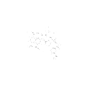 CCN(CC)CC.N=Nc1ccc2c(c1)S(=O)(=O)NS(=O)(=O)c1c-2ccc(Nc2cc(C(N)=O)c3c(C(N)=O)ccc(C(N)=O)c3c2C(N)=O)c1C(=O)O